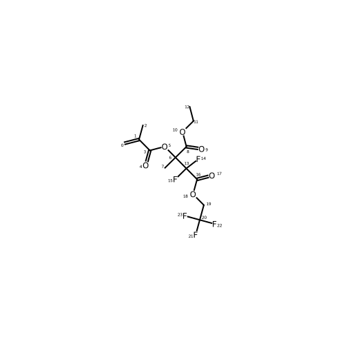 C=C(C)C(=O)OC(C)(C(=O)OCC)C(F)(F)C(=O)OCC(F)(F)F